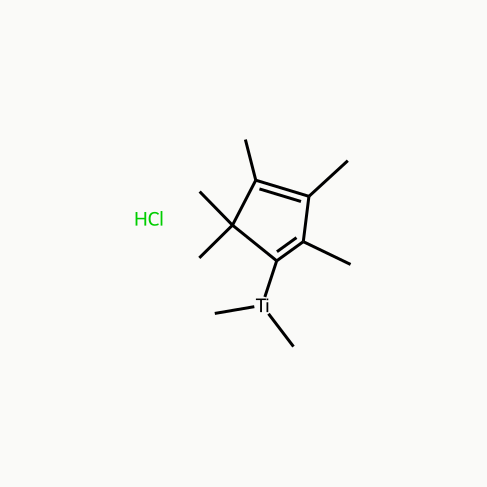 CC1=C(C)C(C)(C)[C]([Ti]([CH3])[CH3])=C1C.Cl